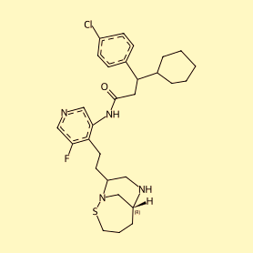 O=C(CC(c1ccc(Cl)cc1)C1CCCCC1)Nc1cncc(F)c1CCC1CN[C@@H]2CCCSN1C2